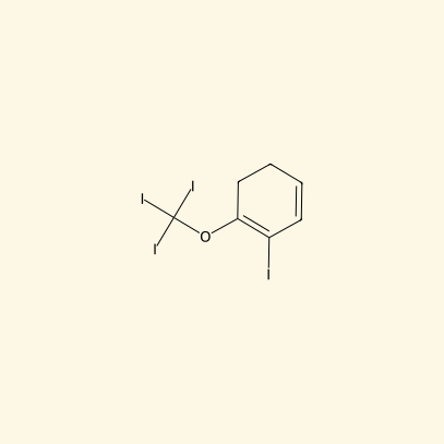 IC1=C(OC(I)(I)I)CCC=C1